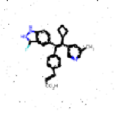 Cc1cncc(/C(=C(\c2ccc(/C=C/C(=O)O)cc2)c2ccc3c(c2)C(F)NN3)C2CCC2)c1